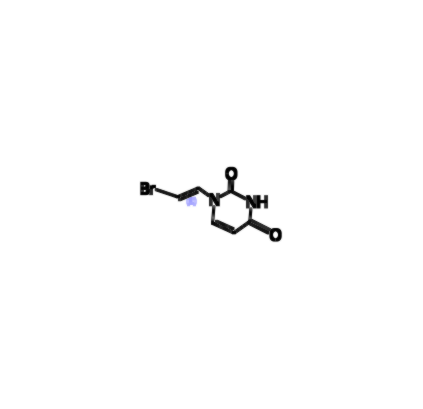 O=c1ccn(/C=C/Br)c(=O)[nH]1